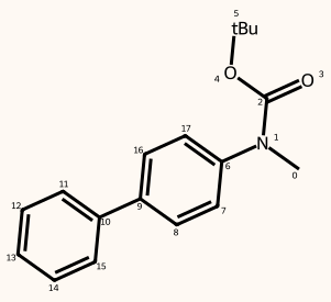 CN(C(=O)OC(C)(C)C)c1ccc(-c2ccccc2)cc1